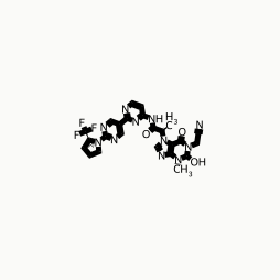 C[C@@H](C(=O)Nc1ccnc(-c2cnc(N3CCC[C@@H]3C(F)(F)F)nc2)n1)n1cnc2c1C(=O)N(CC#N)C(O)N2C